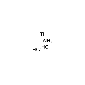 [AlH3].[CaH+].[OH-].[Ti]